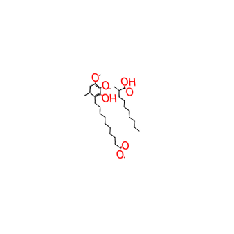 CCCCCCCCC(C)C(=O)O.COC(=O)CCCCCCCCCc1c(C)cc(OC)c(OC)c1O